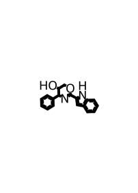 OC1COC(c2cc3ccccc3[nH]2)=NC1c1ccccc1